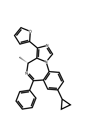 C[C@H]1N=C(c2ccccc2)c2cc(C3CC3)ccc2-n2cnc(-c3ccco3)c21